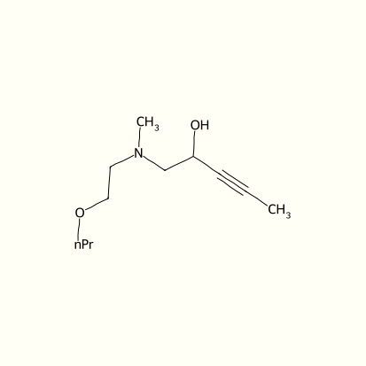 CC#CC(O)CN(C)CCOCCC